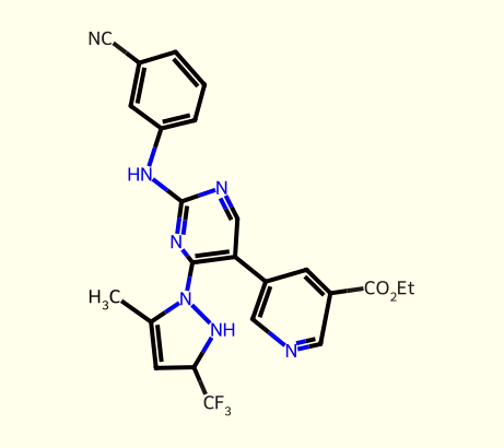 CCOC(=O)c1cncc(-c2cnc(Nc3cccc(C#N)c3)nc2N2NC(C(F)(F)F)C=C2C)c1